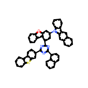 c1ccc2cc3c(cc2c1)c1ccccc1n3-c1cc(-c2nc(-c3ccc4c(c3)sc3ccccc34)nc(-c3cccc4ccccc34)n2)c2c(c1)oc1ccccc12